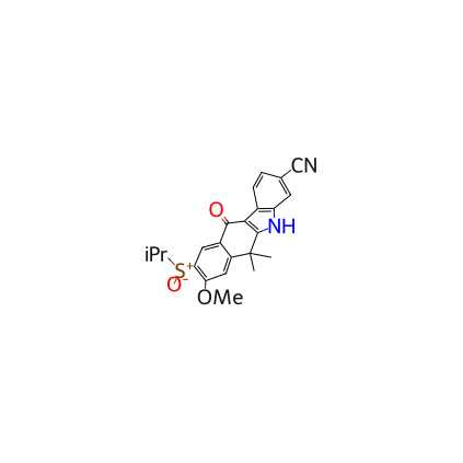 COc1cc2c(cc1[S+]([O-])C(C)C)C(=O)c1c([nH]c3cc(C#N)ccc13)C2(C)C